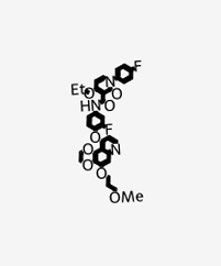 CCOc1ccn(-c2ccc(F)cc2)c(=O)c1C(=O)Nc1ccc(Oc2ccnc3cc(OCCCOC)c4c(c23)OCCO4)c(F)c1